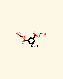 O=C(OCO)c1cccc(C(=O)OCO)c1.[NaH]